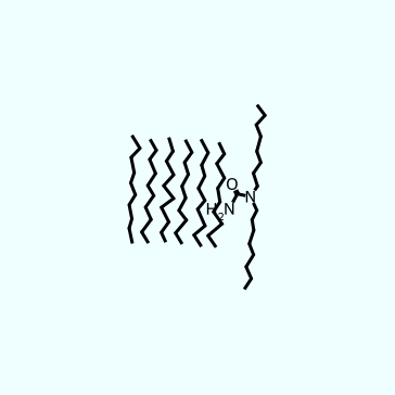 CCCCCCCCCC.CCCCCCCCCC.CCCCCCCCCC.CCCCCCCCCC.CCCCCCCCCC.CCCCCCCCCC.CCCCCCCCN(CCCCCCCC)C(N)=O